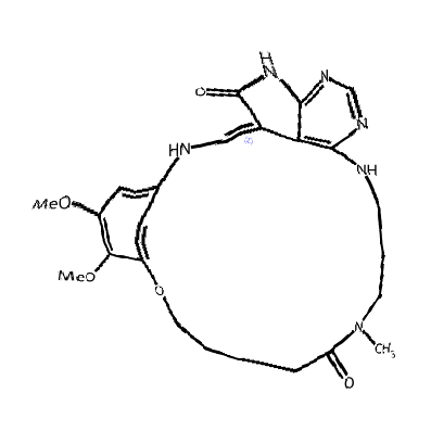 COc1cc2cc(c1OC)OCCCCC(=O)N(C)CCCNc1ncnc3c1/C(=C/N2)C(=O)N3